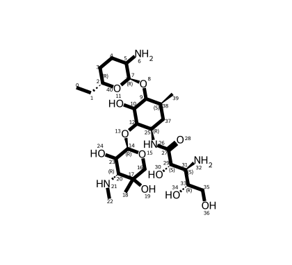 CC[C@@H]1CCC(N)[C@@H](OC2C(O)C(O[C@H]3OCC(C)(O)[C@H](NC)C3O)[C@H](NC(=O)[C@@H](O)[C@@H](N)[C@@H](O)CO)C[C@@H]2C)O1